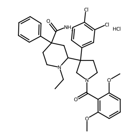 CCN1CCC(C(N)=O)(c2ccccc2)CC1C1(c2ccc(Cl)c(Cl)c2)CCN(C(=O)c2c(OC)cccc2OC)C1.Cl